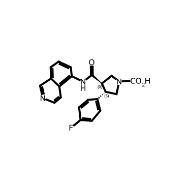 O=C(Nc1cccc2cnccc12)[C@H]1CN(C(=O)O)C[C@@H]1c1ccc(F)cc1